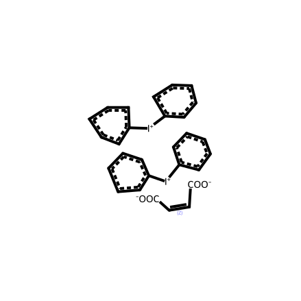 O=C([O-])/C=C\C(=O)[O-].c1ccc([I+]c2ccccc2)cc1.c1ccc([I+]c2ccccc2)cc1